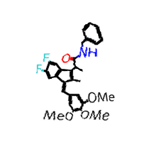 COc1cc(C=C2C(C)=C(C(C)C(=O)NCc3ccccc3)c3cc(F)c(F)cc32)cc(OC)c1OC